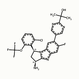 CC(C)(O)c1ncc(-c2cc3c(cc2F)nc2n3[C@H](c3c(Cl)cccc3OC(F)(F)F)C[C@@H]2N)cn1